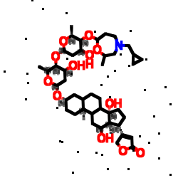 CC1CN(CC2CC2)CCC(O[C@@H]2[C@H](C)O[C@@H](O[C@@H]3[C@H](C)O[C@@H](O[C@H]4CC[C@@]5(C)C(CCC6C5C[C@H](O)[C@]5(C)[C@@H](C7=CC(=O)OC7)CC[C@]65O)C4)C[C@@H]3O)C[C@@H]2O)O1